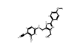 COc1ccc(-c2nc(CCl)c(COc3ccc(C#N)c(Cl)c3)o2)cc1